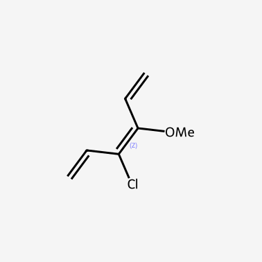 C=C/C(Cl)=C(\C=C)OC